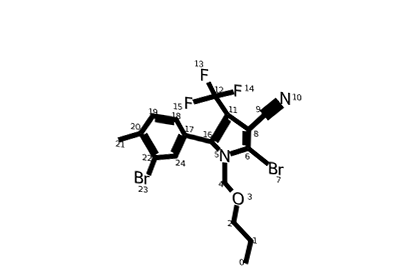 CCCOCn1c(Br)c(C#N)c(C(F)(F)F)c1-c1ccc(C)c(Br)c1